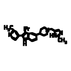 Cc1cc(-c2[nH]c3ccc(C4CCN(Cc5cnc(C)[nH]5)CC4)cc3c2C(C)C)ccn1